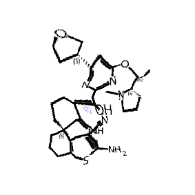 C[C@H](Oc1cc([C@@H]2CCOC2)nc(/C(O)=C2\CCC[C@@]3(CCCc4sc(N)c(C#N)c43)C2=N)n1)[C@@H]1CCCN1C